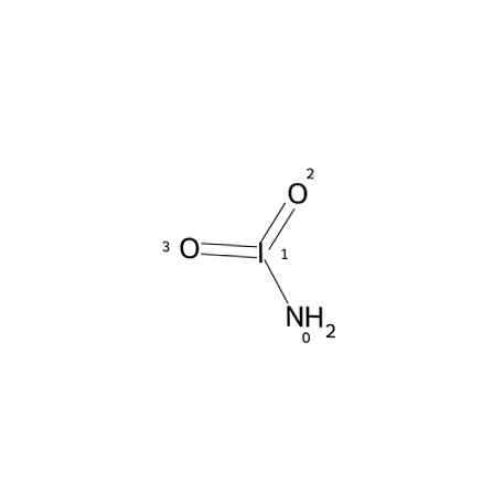 NI(=O)=O